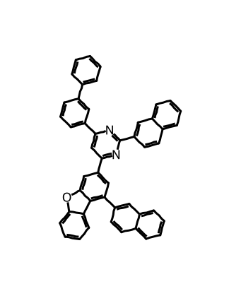 c1ccc(-c2cccc(-c3cc(-c4cc(-c5ccc6ccccc6c5)c5c(c4)oc4ccccc45)nc(-c4ccc5ccccc5c4)n3)c2)cc1